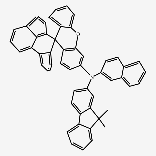 CC1(C)c2ccccc2-c2ccc(N(c3ccc4c(c3)Oc3ccccc3C43c4ccccc4-c4cccc5cccc3c45)c3ccc4ccccc4c3)cc21